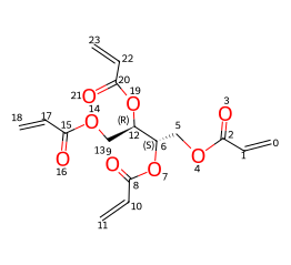 C=CC(=O)OC[C@H](OC(=O)C=C)[C@@H](COC(=O)C=C)OC(=O)C=C